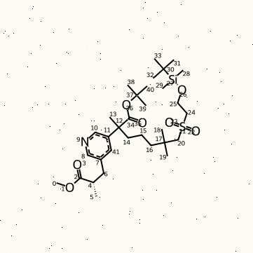 COC(=O)[C@@H](C)Cc1cncc(C(C)(CCCC(C)(C)CS(=O)(=O)CCO[Si](C)(C)C(C)(C)C)C(=O)OC(C)(C)C)c1